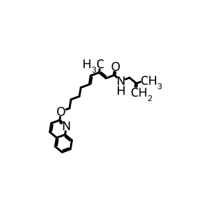 C=C(C)CNC(=O)C=C(C)C=CCCCCOc1ccc2ccccc2n1